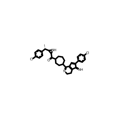 C[C@@H](c1ccc(Cl)cc1)C1NC1C(=O)C1CCCC(C2=NCCC3=C2C=C(c2ccc(Cl)cc2)C3=N)CC1